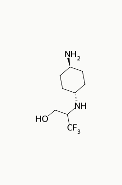 N[C@H]1CC[C@H](NC(CO)C(F)(F)F)CC1